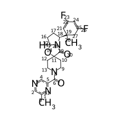 Cc1cncc(C(=O)N2CCC3(CC2)O[C@@H]2CC[C@@H](C4(C)C=C(F)C=C(F)C4)N2C3=O)n1